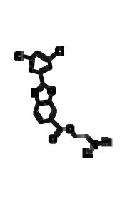 CCN(CC)CCOC(=O)c1ccc2nc(-c3cc(Cl)cc(Cl)c3)oc2c1